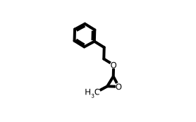 CC1OC1OCCc1ccccc1